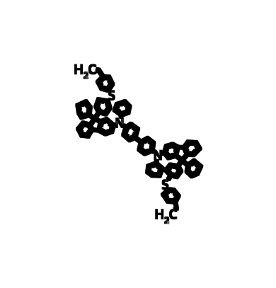 C=Cc1ccc(Sc2ccc(C3(c4ccccc4)c4ccccc4-c4ccc(N(c5ccccc5)c5ccc(-c6ccc(N(c7ccccc7)c7ccc8c(c7)C(c7ccccc7)(c7ccc(Sc9ccc(C=C)cc9)cc7)c7ccccc7-8)cc6)cc5)cc43)cc2)cc1